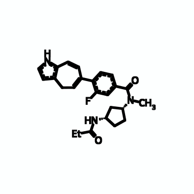 CCC(=O)N[C@H]1CC[C@@H](N(C)C(=O)c2ccc(C3=CCc4cc[nH]c4C=C3)c(F)c2)C1